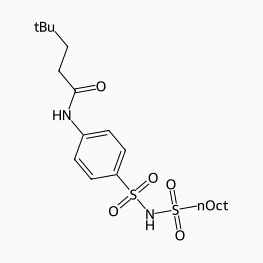 CCCCCCCCS(=O)(=O)NS(=O)(=O)c1ccc(NC(=O)CCC(C)(C)C)cc1